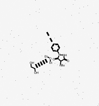 C=C.C=C.C=C.C=C.C=C.C=C.C=C.CCCCC1C(=O)NN(c2ccccc2)C1=O.CCOCC.OCCO